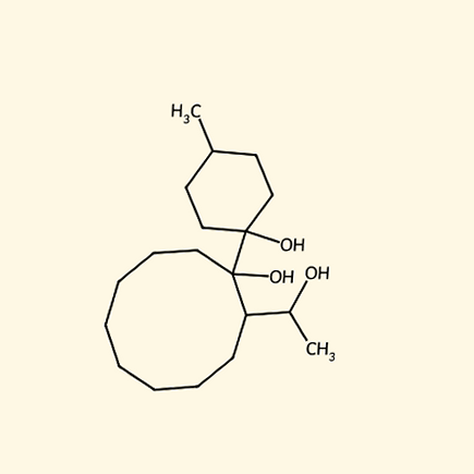 CC1CCC(O)(C2(O)CCCCCCCCC2C(C)O)CC1